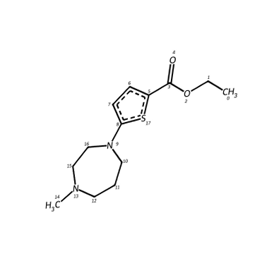 CCOC(=O)c1ccc(N2CCCN(C)CC2)s1